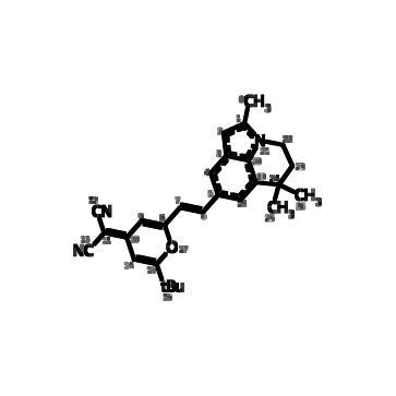 Cc1cc2cc(/C=C/C3=CC(=C(C#N)C#N)C=C(C(C)(C)C)O3)cc3c2n1CCC3(C)C